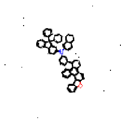 c1ccc(C2(c3ccccc3)c3ccccc3-c3ccc(N(c4cccc(-c5cccc6c7ccc8oc9ccccc9c8c7c7ccccc7c56)c4)c4ccc5ccccc5c4)cc32)cc1